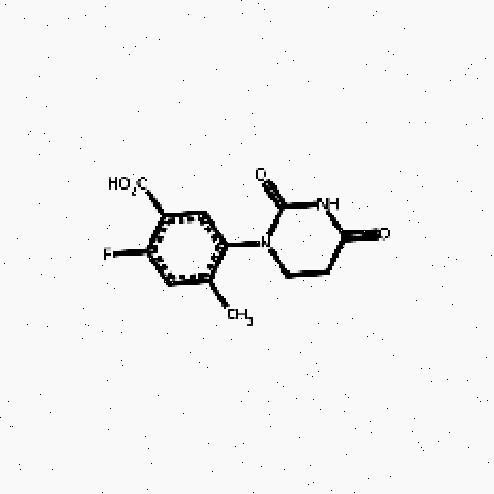 Cc1cc(F)c(C(=O)O)cc1N1CCC(=O)NC1=O